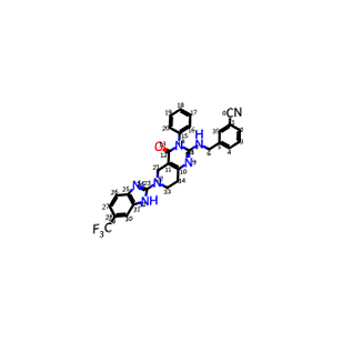 N#Cc1cccc(CNc2nc3c(c(=O)n2-c2ccccc2)CN(c2nc4ccc(C(F)(F)F)cc4[nH]2)CC3)c1